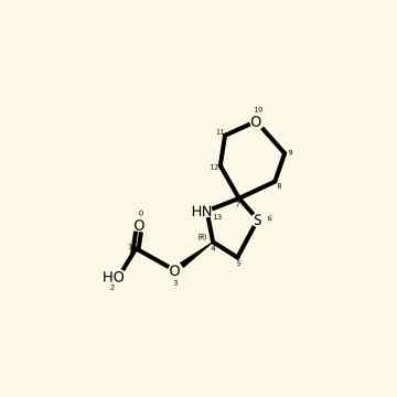 O=C(O)O[C@@H]1CSC2(CCOCC2)N1